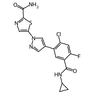 NC(=O)c1ncc(-n2cc(-c3cc(C(=O)NC4CC4)c(F)cc3Cl)cn2)s1